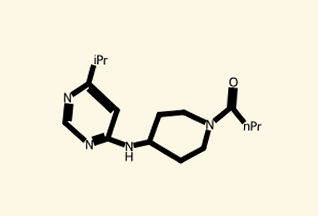 CCCC(=O)N1CCC(Nc2cc(C(C)C)ncn2)CC1